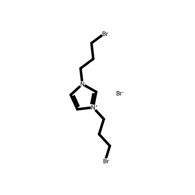 BrCCCn1cc[n+](CCCBr)c1.[Br-]